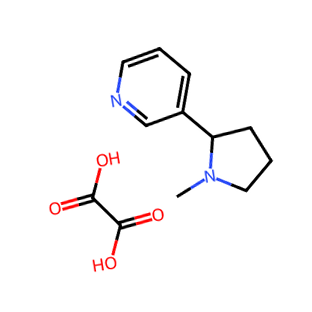 CN1CCCC1c1cccnc1.O=C(O)C(=O)O